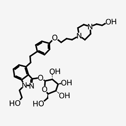 OCCN1CCN(CCCOc2ccc(CCc3cccc4c3c(O[C@@H]3O[C@H](CO)[C@@H](O)[C@H](O)[C@H]3O)nn4CCO)cc2)CC1